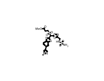 COC(=O)CCS(=O)(=O)C(c1nnc(CNS(N)(=O)=O)o1)c1nc2ccc(-c3cnn(C)c3)cc2s1